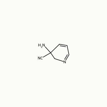 N#CC1(N)C=CC=NC1